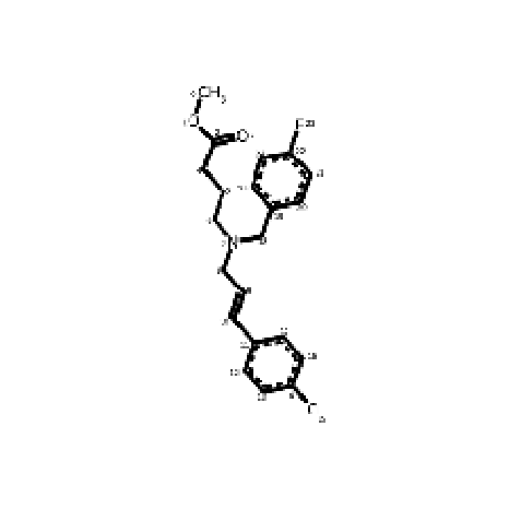 COC(=O)CCCN(C/C=C/c1ccc(Cl)cc1)Cc1ccc(F)cc1